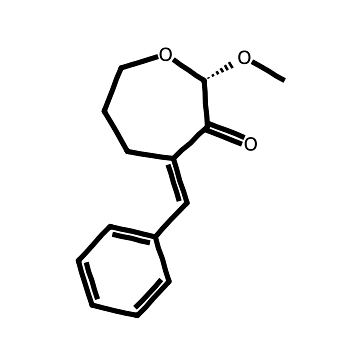 CO[C@H]1OCCC/C(=C\c2ccccc2)C1=O